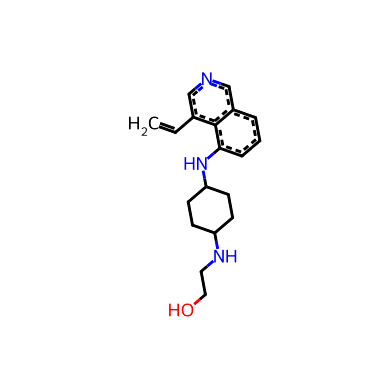 C=Cc1cncc2cccc(NC3CCC(NCCO)CC3)c12